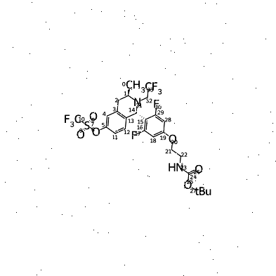 C[C@@H]1Cc2cc(OS(=O)(=O)C(F)(F)F)ccc2[C@@H](c2c(F)cc(OCCNC(=O)OC(C)(C)C)cc2F)N1CC(F)(F)F